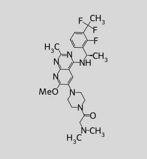 COc1nc2nc(C)nc(N[C@H](C)c3cccc(C(C)(F)F)c3F)c2cc1N1CCN(C(=O)CN(C)C)CC1